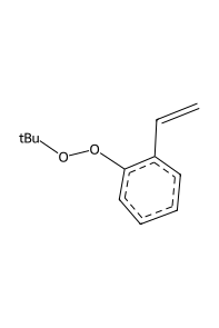 C=Cc1ccccc1OOC(C)(C)C